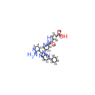 Nc1ncccc1-c1nc2ccc(-c3ccccc3)nc2n1-c1ccc(NC(=O)C2CCC(C(=O)O)C2)nc1